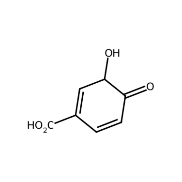 O=C(O)C1=CC(O)C(=O)C=C1